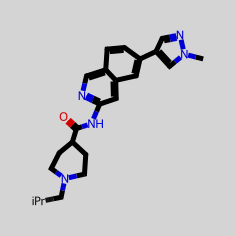 CC(C)CN1CCC(C(=O)Nc2cc3cc(-c4cnn(C)c4)ccc3cn2)CC1